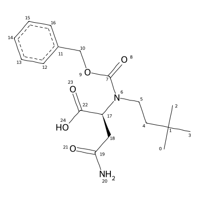 CC(C)(C)CCN(C(=O)OCc1ccccc1)[C@@H](CC(N)=O)C(=O)O